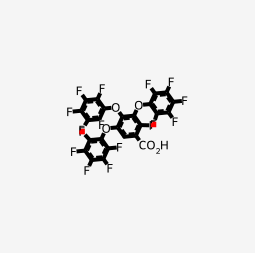 O=C(O)c1cc(Oc2c(F)c(F)c(F)c(F)c2F)c(Oc2c(F)c(F)c(F)c(F)c2F)c(Oc2c(F)c(F)c(F)c(F)c2F)c1F